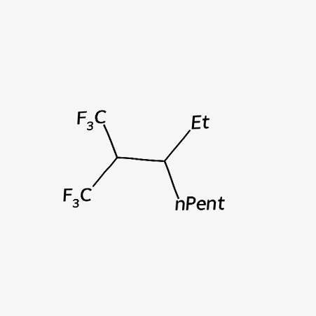 CCCCCC(CC)C(C(F)(F)F)C(F)(F)F